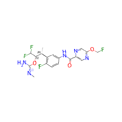 C/N=C(/N)O[C@H](C(F)F)[C@H](C)c1cc(NC(=O)c2cnc(OCF)cn2)ccc1F